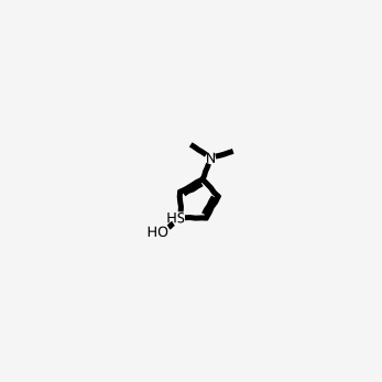 CN(C)C1=C[SH](O)C=C1